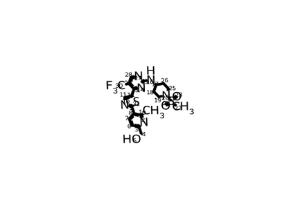 Cc1nc(CO)ccc1-c1ncc(-c2nc(NC3CCN(S(C)(=O)=O)CC3)ncc2C(F)(F)F)s1